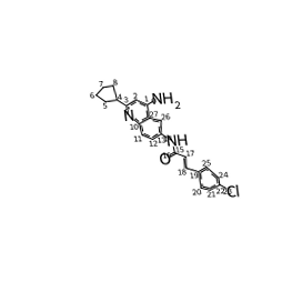 Nc1cc(C2CCCC2)nc2ccc(NC(=O)C=Cc3ccc(Cl)cc3)cc12